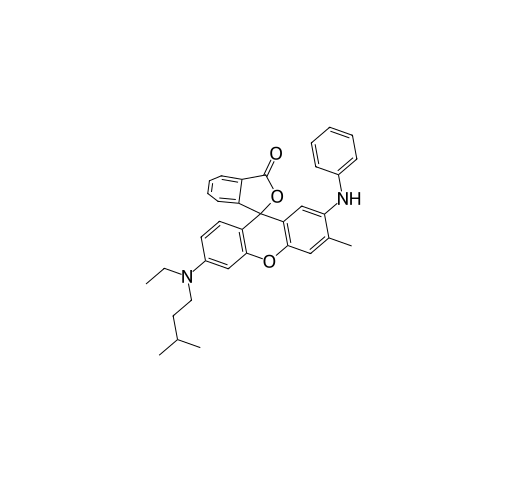 CCN(CCC(C)C)c1ccc2c(c1)Oc1cc(C)c(Nc3ccccc3)cc1C21OC(=O)c2ccccc21